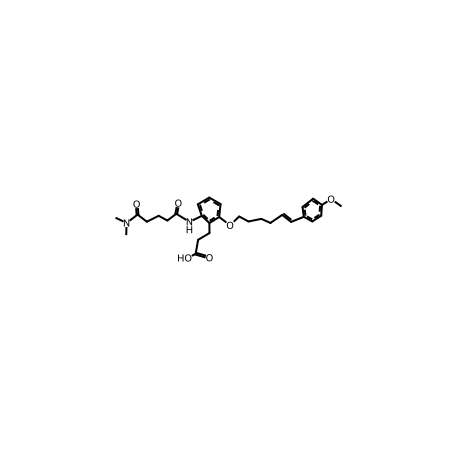 COc1ccc(/C=C/CCCCOc2cccc(NC(=O)CCCC(=O)N(C)C)c2CCC(=O)O)cc1